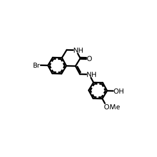 COc1ccc(N/C=C2\C(=O)NCc3cc(Br)ccc32)cc1O